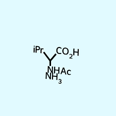 CC(=O)NC(C(=O)O)C(C)C.N